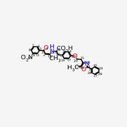 C/C(=C/C(=O)c1cccc([N+](=O)[O-])c1)NC(Cc1ccc(OCCc2nc(-c3ccccc3)oc2C)cc1)C(=O)O